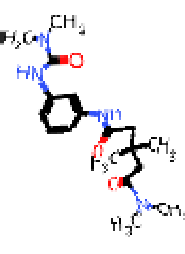 CN(C)C(=O)CC(C)(C)CC(=O)Nc1cccc(NC(=O)N(C)C)c1